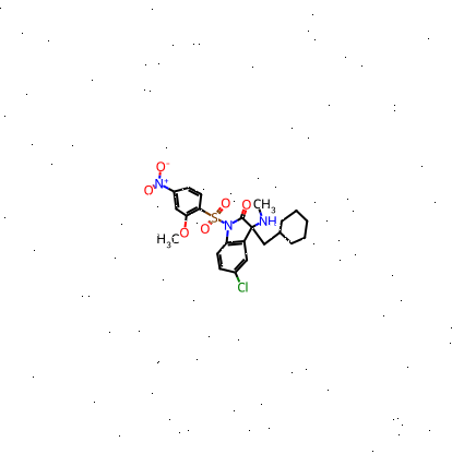 CNC1(CC2CCCCC2)C(=O)N(S(=O)(=O)c2ccc([N+](=O)[O-])cc2OC)c2ccc(Cl)cc21